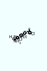 CC[C@H]1CN(c2cc(N)c(C(N)=O)cc2Cl)CCN1C1CCN(Cc2ccc(Cl)cc2F)CC1